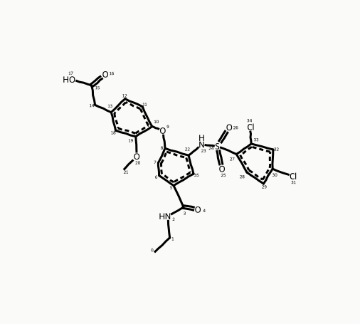 CCNC(=O)c1ccc(Oc2ccc(CC(=O)O)cc2OC)c(NS(=O)(=O)c2ccc(Cl)cc2Cl)c1